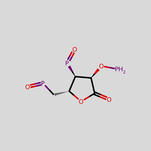 O=PC[C@H]1OC(=O)[C@H](OP)[C@@H]1P=O